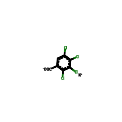 O=C([O-])c1cc(Cl)c(Cl)c(Cl)c1Cl.[K+]